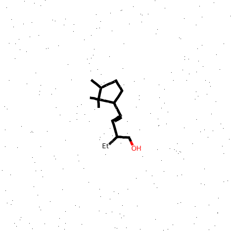 CCC(C=CC1CCC(C)C1(C)C)CO